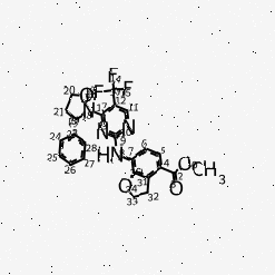 COC(=O)c1ccc(Nc2ncc(C(F)(F)F)c(N3OCC[C@H]3c3ccccc3)n2)c2c1CCO2